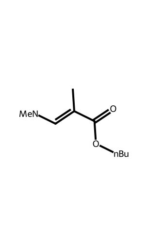 CCCCOC(=O)C(C)=CNC